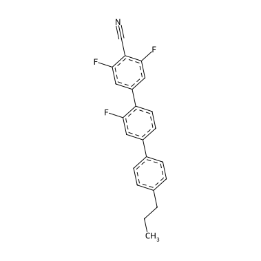 CCCc1ccc(-c2ccc(-c3cc(F)c(C#N)c(F)c3)c(F)c2)cc1